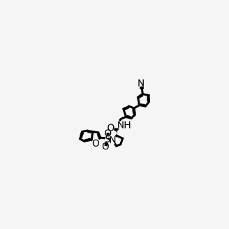 N#Cc1cccc(-c2ccc(CNC(=O)[C@@H]3CCCN3S(=O)(=O)c3cc4ccccc4o3)cc2)c1